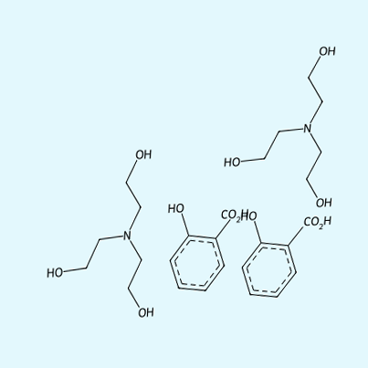 O=C(O)c1ccccc1O.O=C(O)c1ccccc1O.OCCN(CCO)CCO.OCCN(CCO)CCO